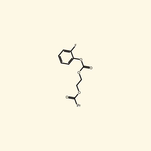 CC(C)C(=O)OCCOC(=O)Oc1ccccc1F